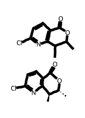 CC1OC(=O)c2ccc(Cl)nc2C1C.C[C@H]1OC(=O)c2ccc(Cl)nc2[C@@H]1C